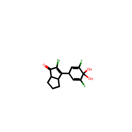 O=C1C(Br)=C(C2C=C(F)C(O)(O)C(F)=C2)C2CCCC12